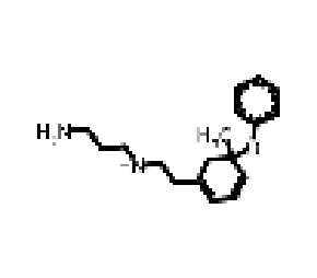 CC1(Oc2ccccc2)C=CC=C(CCNCCCN)C1